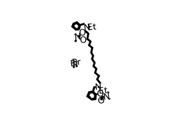 CBr.CBr.CCN(CCCCCCCCCCCCCCCCN(CC)Cc1ccccc1OC(=O)N(C)C)Cc1ccccc1OC(=O)N(C)C